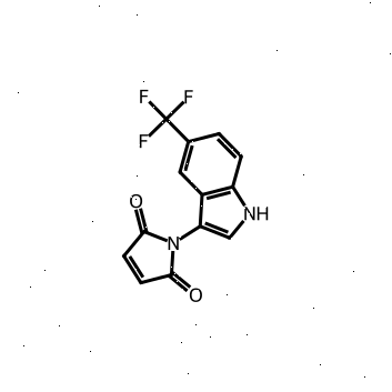 O=C1C=CC(=O)N1c1c[nH]c2ccc(C(F)(F)F)cc12